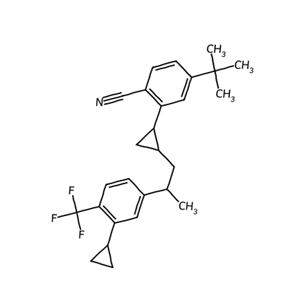 CC(CC1CC1c1cc(C(C)(C)C)ccc1C#N)c1ccc(C(F)(F)F)c(C2CC2)c1